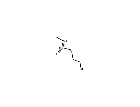 C/[SH]=[SH](=O)/OCCO